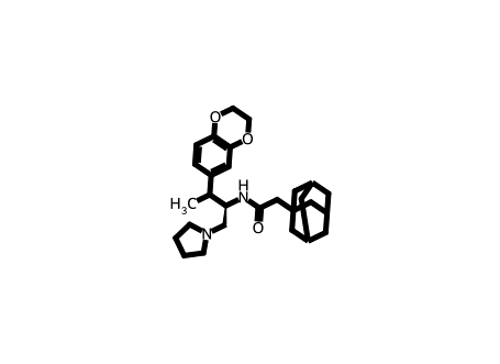 CC(c1ccc2c(c1)OCCO2)[C@H](CN1CCCC1)NC(=O)CC12CC3CC(CC(C3)C1)C2